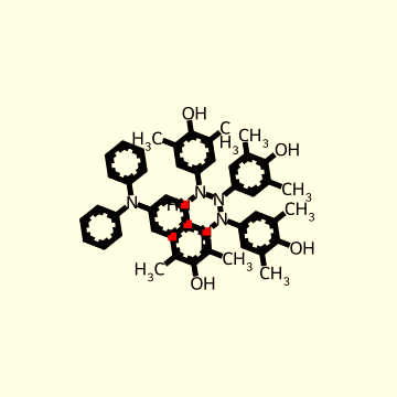 Cc1cc(NN(c2cc(C)c(O)c(C)c2)N(c2cc(C)c(O)c(C)c2)N(Nc2ccc(N(c3ccccc3)c3ccccc3)cc2)c2cc(C)c(O)c(C)c2)cc(C)c1O